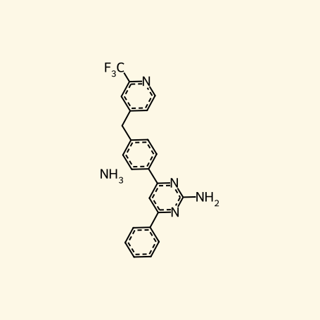 N.Nc1nc(-c2ccccc2)cc(-c2ccc(Cc3ccnc(C(F)(F)F)c3)cc2)n1